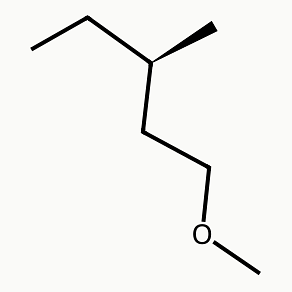 CC[C@@H](C)CCOC